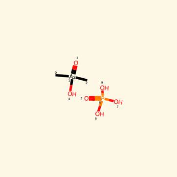 C[As](C)(=O)O.O=P(O)(O)O